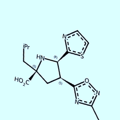 Cc1noc([C@H]2C[C@@](CC(C)C)(C(=O)O)N[C@H]2c2nccs2)n1